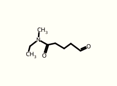 CCN(C)C(=O)CCCC=O